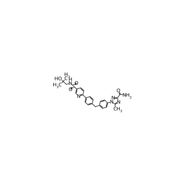 Cc1nc(C(N)=O)nn1-c1ccc(Cc2ccc(-c3ccc(S(=O)(=O)NCC(C)(C)O)cn3)cc2)cc1